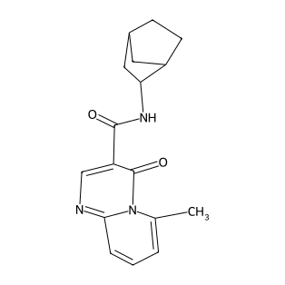 Cc1cccc2ncc(C(=O)NC3CC4CCC3C4)c(=O)n12